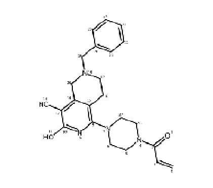 C=CC(=O)N1CCN(c2nc(O)c(C#N)c3c2CCN(Cc2ccccc2)C3)CC1